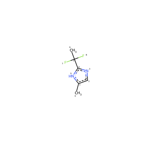 Cc1cnc(C(C)(F)F)[nH]1